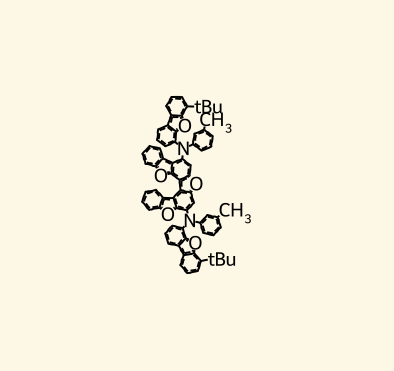 Cc1cccc(N(c2cccc3c2oc2c(C(C)(C)C)cccc23)c2cc3oc4cc(N(c5cccc(C)c5)c5cccc6c5oc5c(C(C)(C)C)cccc56)c5c6ccccc6oc5c4c3c3c2oc2ccccc23)c1